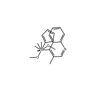 C[O][Ti]([CH3])([CH3])([CH3])([CH3])([CH3])([O]C)([C]1=CC=CC1)[c]1c(C)cnc2ccccc12